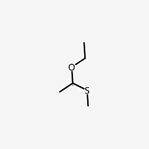 CCO[C](C)SC